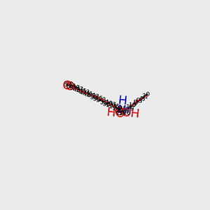 CCCCCCCCCCCCC/C=C/C(O)C(CO)NC(=O)CCCCCCCCCCCCCCCCCCCCCCCCCCCCCOC=O